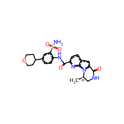 C[C@@H]1CNC(=O)c2cc3ccc(C(=O)Nc4ccc(C5CCOCC5)cc4S(N)(=O)=O)nc3n21